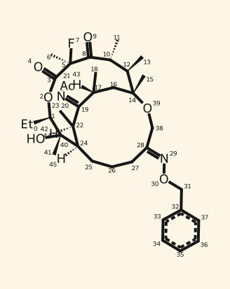 CC[C@H]1OC(=O)[C@@](C)(F)C(=O)[C@H](C)[C@@H](C)[C@@]2(C)C[C@@H](C)/C(=N\C(C)=O)[C@H](C)[C@@H](CCC/C(=N\OCc3ccccc3)CO2)[C@]1(C)O